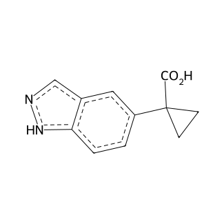 O=C(O)C1(c2ccc3[nH]ncc3c2)CC1